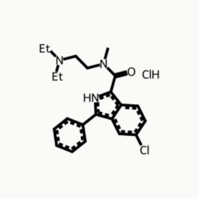 CCN(CC)CCN(C)C(=O)c1[nH]c(-c2ccccc2)c2cc(Cl)ccc12.Cl